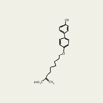 C=C(CCCCCCCOc1ccc(-c2ccc(C#N)cc2)cc1)C(=O)O